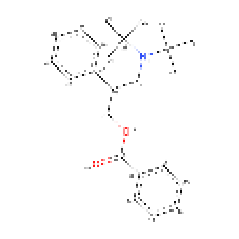 CC(C)(C)N(CC(COC(=O)c1ccccc1)c1ccccc1)C(C)(C)C